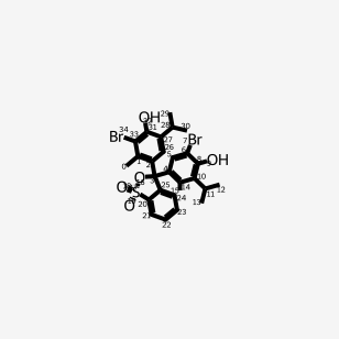 Cc1c(C2(c3cc(Br)c(O)c(C(C)C)c3C)OS(=O)(=O)c3ccccc32)cc(C(C)C)c(O)c1Br